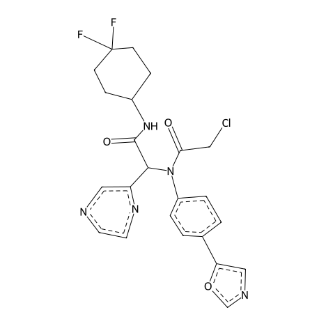 O=C(NC1CCC(F)(F)CC1)C(c1cnccn1)N(C(=O)CCl)c1ccc(-c2cnco2)cc1